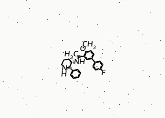 COc1ccc(-c2ccc(F)cc2)cc1[C@@H](C)N[C@H]1CCCN[C@@H]1c1ccccc1